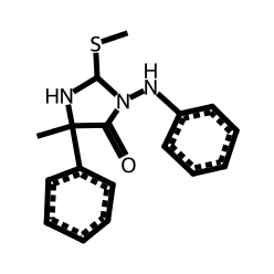 CSC1NC(C)(c2ccccc2)C(=O)N1Nc1ccccc1